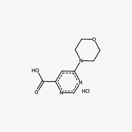 Cl.O=C(O)c1cc(N2CCOCC2)ncn1